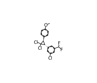 COc1ccc([C@H]2[C@H](c3cc(Cl)cc(C(F)F)c3)C2(Cl)Cl)cc1